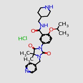 CC(C)Oc1ccc(N2C(=O)N(Cc3ccncc3)C(C)(C)C2=O)cc1C(=O)NCC1CCNCC1.Cl